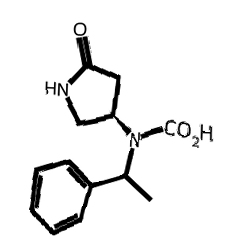 CC(c1ccccc1)N(C(=O)O)[C@H]1CNC(=O)C1